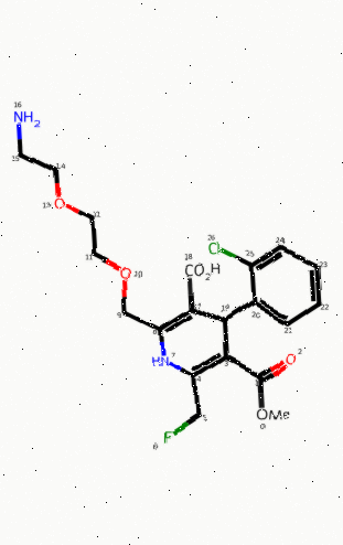 COC(=O)C1=C(CF)NC(COCCOCCN)=C(C(=O)O)C1c1ccccc1Cl